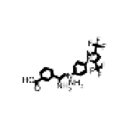 N/C(=C\N(N)c1ccc(-n2nc(C(F)(F)F)cc2C(F)(F)F)cc1)c1cccc(C(=O)O)c1